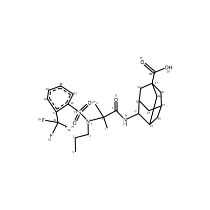 CCCN(C(C)(C)C(=O)NC1C2CC3CC1CC(C(=O)O)(C3)C2)S(=O)(=O)c1ccccc1C(F)(F)F